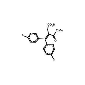 COC(=O)C(CC(=O)O)=C(c1ccc(F)cc1)c1ccc(F)cc1